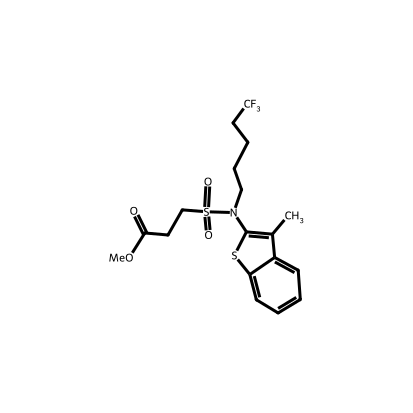 COC(=O)CCS(=O)(=O)N(CCCCC(F)(F)F)c1sc2ccccc2c1C